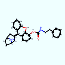 O=C(NCCc1ccccc1)Oc1cccc2c1Oc1ccccc1C2=C1CC2CCC(C1)N2